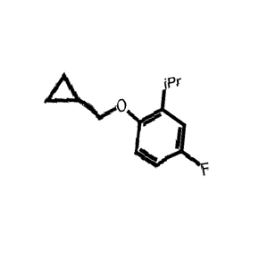 CC(C)c1cc(F)ccc1OCC1CC1